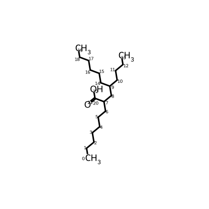 CCCCCCCC(CC(CCCC)CCCCCC)C(=O)O